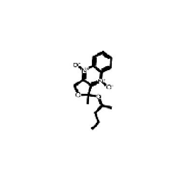 CCCC(C)OC1(C)OCc2c1[n+]([O-])c1ccccc1[n+]2[O-]